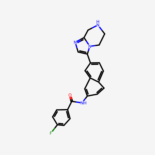 O=C(Nc1ccc2ccc(-c3cnc4n3CCNC4)cc2c1)c1ccc(F)cc1